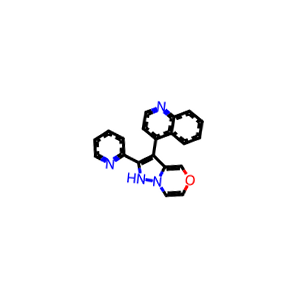 C1=CN2NC(c3ccccn3)=C(c3ccnc4ccccc34)C2=CO1